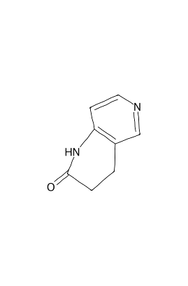 O=C1CCc2cnccc2N1